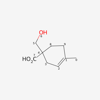 CC1=CCC(CO)(C(=O)O)CC1